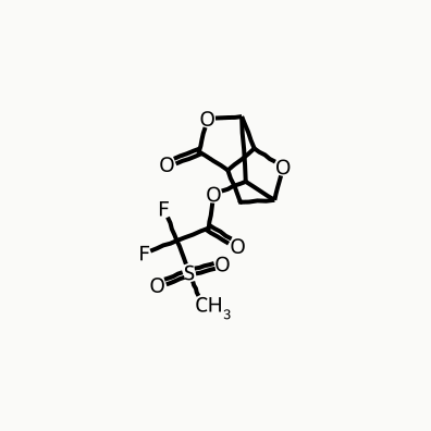 CS(=O)(=O)C(F)(F)C(=O)OC1C2CC3C(=O)OC1C3O2